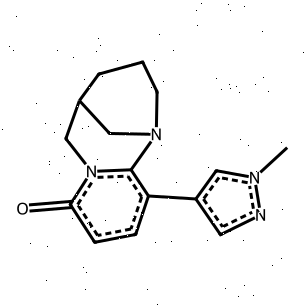 Cn1cc(-c2ccc(=O)n3c2N2CCCC(C2)C3)cn1